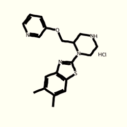 Cc1cc2nc(N3CCNCC3COc3cccnc3)sc2cc1C.Cl